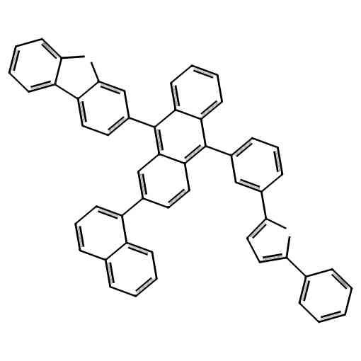 c1ccc(-c2ccc(-c3cccc(-c4c5ccccc5c(-c5ccc6c(c5)sc5ccccc56)c5cc(-c6cccc7ccccc67)ccc45)c3)s2)cc1